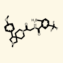 Bc1ccc(C(F)(F)F)cc1C(=O)NCC(=O)N1CCC2(CC1)CN(C)CC2c1ccc(OC)cc1